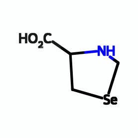 O=C(O)C1C[Se]CN1